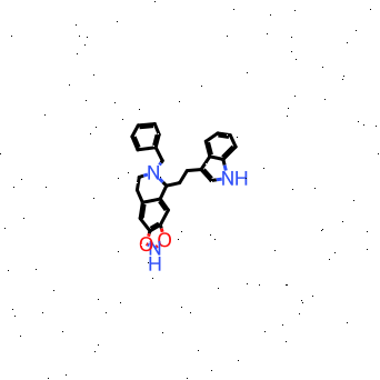 c1ccc(CN2CCc3cc4c(cc3C2CCc2c[nH]c3ccccc23)ONO4)cc1